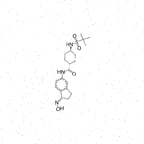 CC(C)(C)S(=O)(=O)N[C@H]1CC[C@H](C(=O)Nc2ccc3c(c2)CCC3=NO)CC1